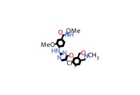 CONC(=O)c1ccc(Nc2ncc(C(F)(F)F)c(Oc3cccc4c3CON(C)C4)n2)c(OC)c1